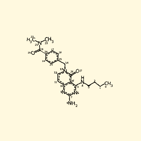 CCCCNc1nc(N)nc2ccn(Cc3ccc(C(=O)N(C)C)cc3)c(=O)c12